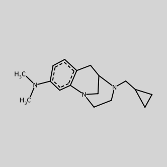 CN(C)c1ccc2c(c1)N1CCN(CC3CC3)C(C2)C1